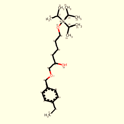 CCc1ccc(COCC(O)CCCCO[Si](C(C)C)(C(C)C)C(C)C)cc1